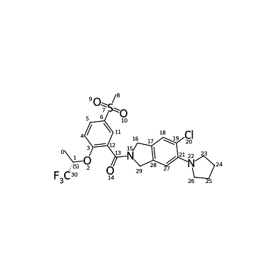 C[C@H](Oc1ccc(S(C)(=O)=O)cc1C(=O)N1Cc2cc(Cl)c(N3CCCC3)cc2C1)C(F)(F)F